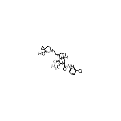 C[C@H]1C(=O)N2[C@@H](CCN3CCC4(CC4)[C@H](O)C3)CO[C@H]2CN1C(=O)Nc1cccc(Cl)c1